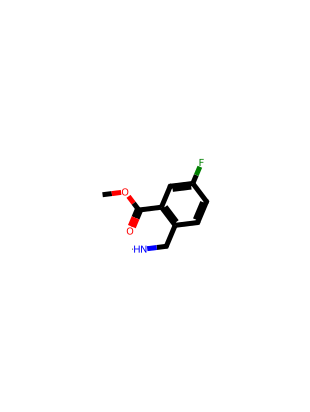 COC(=O)c1cc(F)ccc1C[NH]